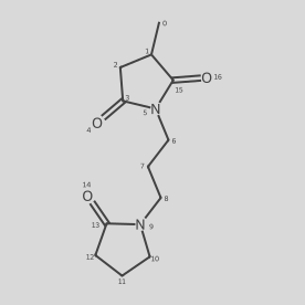 CC1CC(=O)N(CCCN2CCCC2=O)C1=O